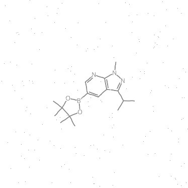 CC(C)c1nn(C)c2ncc(B3OC(C)(C)C(C)(C)O3)cc12